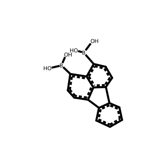 OB(O)c1ccc2c3c(ccc(B(O)O)c13)-c1ccccc1-2